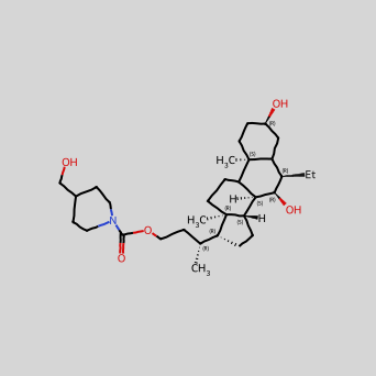 CC[C@@H]1C2C[C@H](O)CC[C@]2(C)C2CC[C@]3(C)[C@@H]([C@H](C)CCOC(=O)N4CCC(CO)CC4)CC[C@H]3[C@@H]2[C@@H]1O